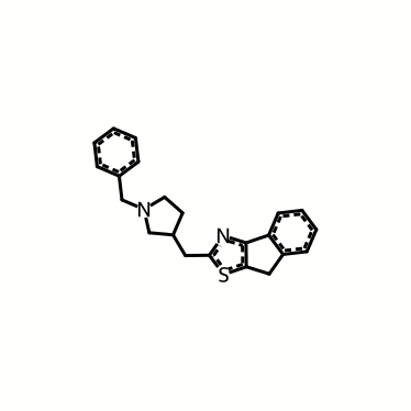 c1ccc(CN2CCC(Cc3nc4c(s3)Cc3ccccc3-4)C2)cc1